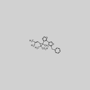 CC(C)=CC1C(C)(C(=O)O)C1(C)c1ccoc1-c1coc(Cc2ccccc2)c1